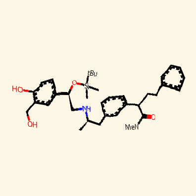 CNC(=O)C(CCc1ccccc1)c1cccc(C[C@@H](C)NC[C@H](O[Si](C)(C)C(C)(C)C)c2ccc(O)c(CO)c2)c1